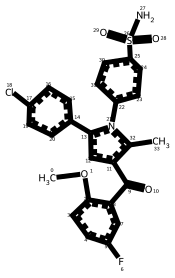 COc1ccc(F)cc1C(=O)c1cc(-c2ccc(Cl)cc2)n(-c2ccc(S(N)(=O)=O)cc2)c1C